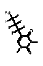 Cn1cc(C(F)(F)C(F)(F)C(F)(F)C(F)(F)F)c(=O)n(C)c1=O